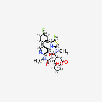 CN(C(=O)C(CC(=O)O)CC1CCCC1)c1nc(-c2cc(F)ccc2-c2cnc3c(c2)CCC(=O)N3C)c(F)s1